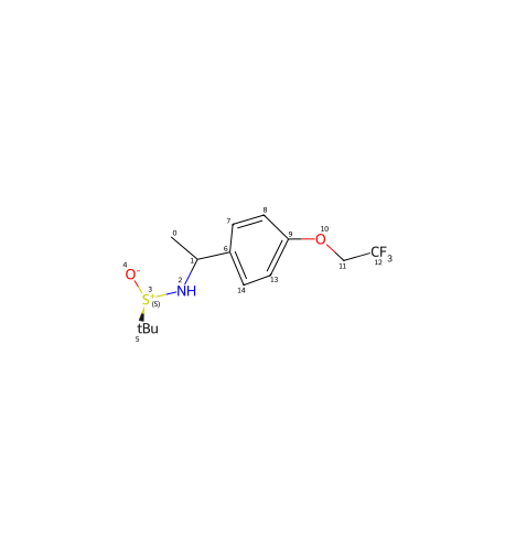 CC(N[S@+]([O-])C(C)(C)C)c1ccc(OCC(F)(F)F)cc1